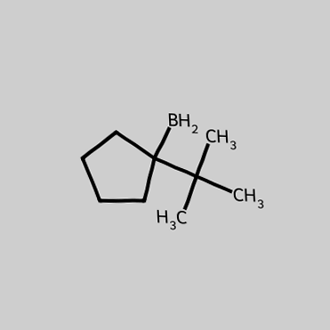 BC1(C(C)(C)C)CCCC1